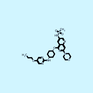 CCCOc1cnc(N[C@H]2CC[C@@H](Oc3nc(N4CCOCC4)cc4ncc(NS(C)(=O)=O)cc34)CC2)nc1